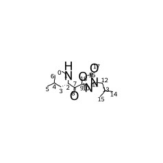 CN[C@@H](CC(C)C)C(=O)c1nn(CC(C)C)c(=O)o1